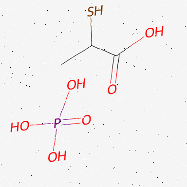 CC(S)C(=O)O.O=P(O)(O)O